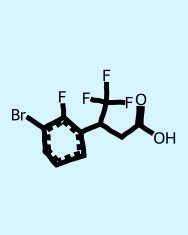 O=C(O)CC(c1cccc(Br)c1F)C(F)(F)F